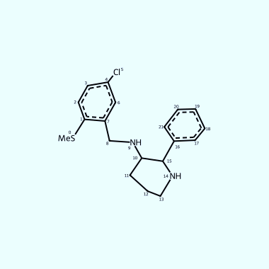 CSc1ccc(Cl)cc1CNC1CCCNC1c1ccccc1